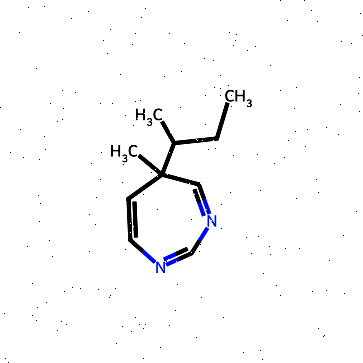 CCC(C)C1(C)C=CN=CN=C1